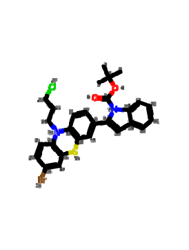 CC(C)(C)OC(=O)n1c(-c2ccc3c(c2)Sc2cc(Br)ccc2N3CCCCl)cc2ccccc21